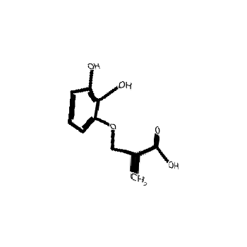 C=C(COc1cccc(O)c1O)C(=O)O